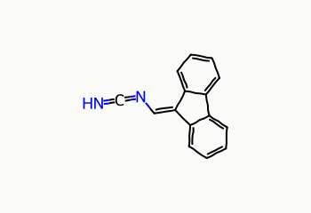 N=C=NC=C1c2ccccc2-c2ccccc21